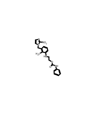 Cc1c(Cn2ccnc2[N+](=O)[O-])cccc1NCCOC(=O)Nc1ccccc1